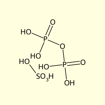 O=P(O)(O)OP(=O)(O)O.O=S(=O)(O)O